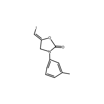 Cc1cccc(N2CC(=CI)OC2=O)c1